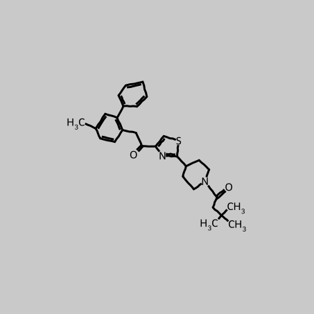 Cc1ccc(CC(=O)c2csc(C3CCN(C(=O)CC(C)(C)C)CC3)n2)c(-c2ccccc2)c1